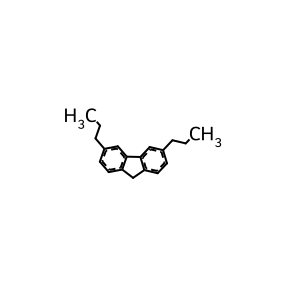 CCCc1ccc2c(c1)-c1cc(CCC)ccc1C2